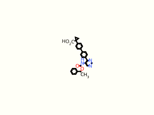 CC(OC(=O)Nc1cncnc1-c1ccc(-c2ccc(C3(C(=O)O)CC3)cc2)cc1)c1ccccc1